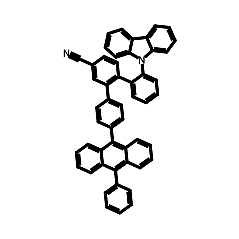 N#Cc1ccc(-c2ccccc2-n2c3ccccc3c3ccccc32)c(-c2ccc(-c3c4ccccc4c(-c4ccccc4)c4ccccc34)cc2)c1